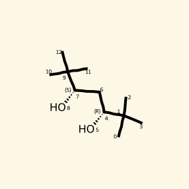 CC(C)(C)[C@H](O)C[C@H](O)C(C)(C)C